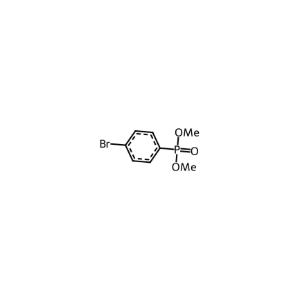 COP(=O)(OC)c1ccc(Br)cc1